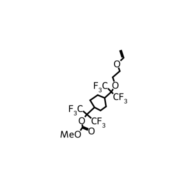 C=COCCOC(C1CCC(C(OC(=O)OC)(C(F)(F)F)C(F)(F)F)CC1)(C(F)(F)F)C(F)(F)F